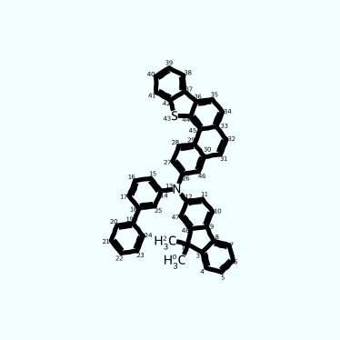 CC1(C)c2ccccc2-c2ccc(N(c3cccc(-c4ccccc4)c3)c3ccc4c(ccc5ccc6c7ccccc7sc6c54)c3)cc21